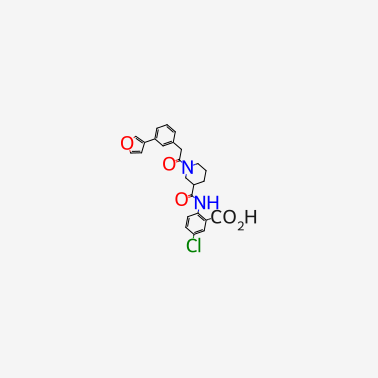 O=C(O)c1cc(Cl)ccc1NC(=O)C1CCCN(C(=O)Cc2cccc(-c3ccoc3)c2)C1